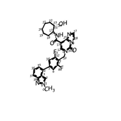 Cn1cc2c(-c3cc(F)c(Cn4cc(C(=O)N[C@H]5CCCCC[C@@H]5O)c5nccn5c4=O)c(F)c3)cccc2n1